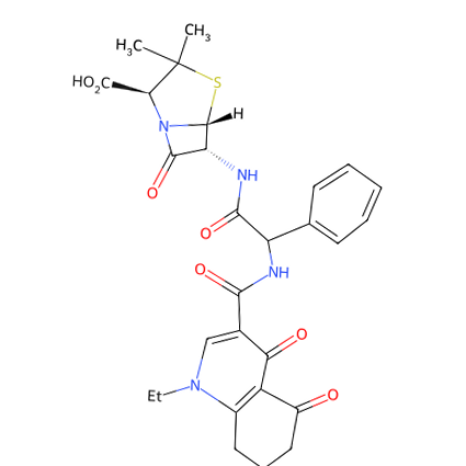 CCn1cc(C(=O)NC(C(=O)N[C@@H]2C(=O)N3[C@@H]2SC(C)(C)[C@@H]3C(=O)O)c2ccccc2)c(=O)c2c1CCCC2=O